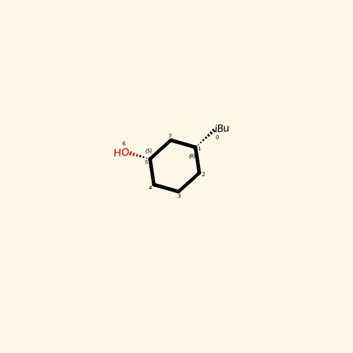 CCC(C)[C@@H]1CCC[C@H](O)C1